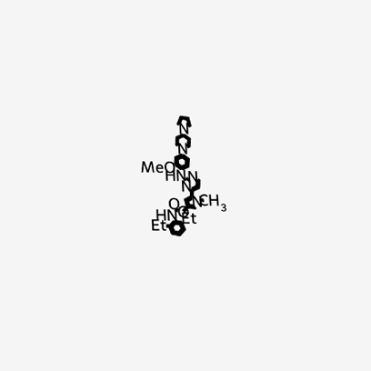 CCc1cccc(CC)c1NC(=O)Oc1cc(-c2ccnc(Nc3ccc(N4CCC(N5CCCC5)CC4)cc3OC)n2)n(C)c1